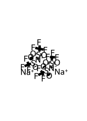 O=S(=O)([N-]S(=O)(=O)C(F)(F)F)C(F)(F)F.O=S(=O)([N-]S(=O)(=O)C(F)(F)F)C(F)(F)F.[Na+].[Na+]